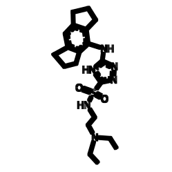 CCN(CC)CCNS(=O)(=O)c1nnc(Nc2c3c(cc4c2CCC4)CCC3)[nH]1